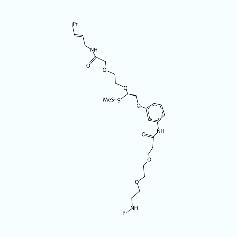 CSS[C@H](COc1cccc(NC(=O)CCOCCOCCNC(C)C)c1)OCCOCC(=O)NC/C=C/C(C)C